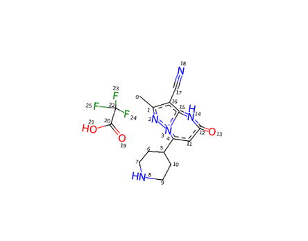 Cc1nn2c(C3CCNCC3)cc(=O)[nH]c2c1C#N.O=C(O)C(F)(F)F